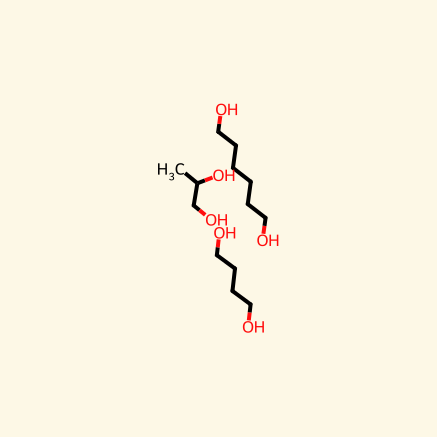 CC(O)CO.OCCCCCCO.OCCCCO